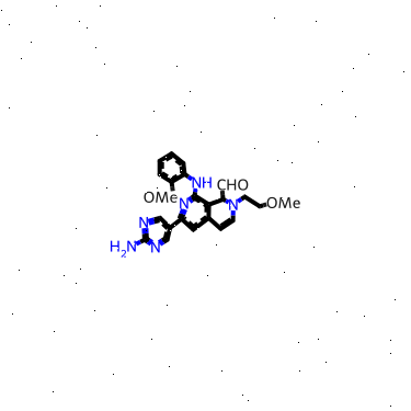 COCCN1C=Cc2cc(-c3cnc(N)nc3)nc(Nc3ccccc3OC)c2C1C=O